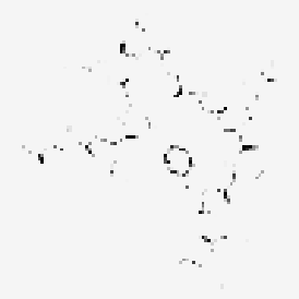 CC[C@H](C)[C@H](NC(=O)[C@H](Cc1ccccc1)NC(=O)[C@H](CC(C)C)NC(=O)[C@H](CCCNC(=N)N)NC(=O)[C@@H](NC(=O)[C@H](C)NC(=O)[C@H](CCC(=O)O)NC(=O)[C@H](CCC(=O)O)NC(=O)[C@H](CCC(=O)O)NC(=O)[C@H](CCSC)NC(=O)[C@@H](N)CCC(N)=O)C(C)C)C(=O)N[C@@H](CS)C(=O)O